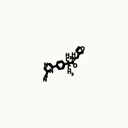 CC(C)(C(=O)NCc1ccoc1)c1ccc(-c2cncc(C#N)n2)cc1